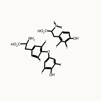 NC(Cc1cc(I)c(Oc2cc(I)c(O)c(I)c2)c(I)c1)C(=O)O.O=C(O)C(Cc1ccc(O)c(I)c1I)N(I)I